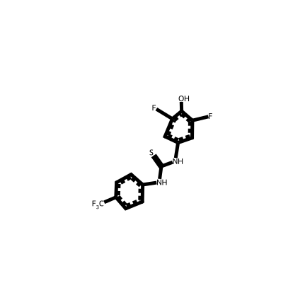 Oc1c(F)cc(NC(=S)Nc2ccc(C(F)(F)F)cc2)cc1F